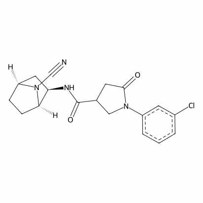 N#CN1[C@H]2CC[C@@H]1[C@H](NC(=O)C1CC(=O)N(c3cccc(Cl)c3)C1)C2